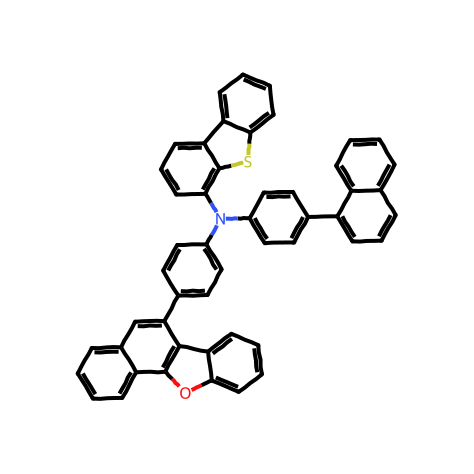 c1ccc2c(-c3ccc(N(c4ccc(-c5cc6ccccc6c6oc7ccccc7c56)cc4)c4cccc5c4sc4ccccc45)cc3)cccc2c1